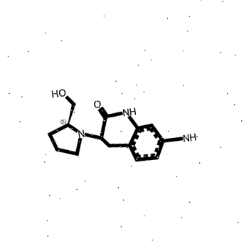 [NH]c1ccc2c(c1)NC(=O)C(N1CCC[C@H]1CO)C2